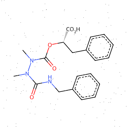 CN(C(=O)NCc1ccccc1)N(C)C(=O)O[C@@H](Cc1ccccc1)C(=O)O